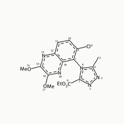 CCOC(=O)c1nnc(C)n1-c1c(Cl)ccc2nc(OC)c(OC)nc12